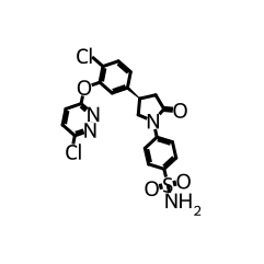 NS(=O)(=O)c1ccc(N2C[C@@H](c3ccc(Cl)c(Oc4ccc(Cl)nn4)c3)CC2=O)cc1